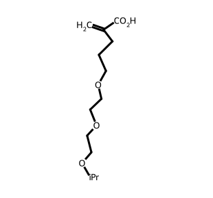 C=C(CCCOCCOCCOC(C)C)C(=O)O